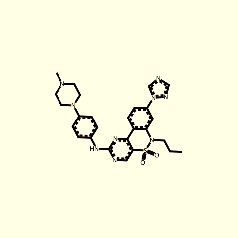 CCCN1c2cc(-n3cncn3)ccc2-c2nc(Nc3ccc(N4CCN(C)CC4)cc3)ncc2S1(=O)=O